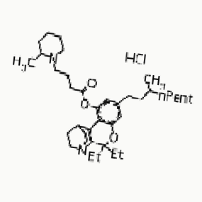 CCCCCC(C)CCc1cc(OC(=O)CCCN2CCCCC2C)c2c(c1)OC(CC)(CC)C1=C2C2CCN1CC2.Cl